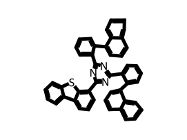 c1ccc(-c2cccc3ccccc23)c(-c2nc(-c3ccccc3-c3cccc4ccccc34)nc(-c3cccc4c3sc3ccccc34)n2)c1